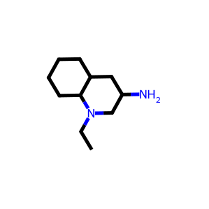 CCN1CC(N)CC2CCCCC21